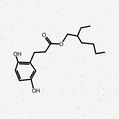 CCCCC(CC)COC(=O)CCc1cc(O)ccc1O